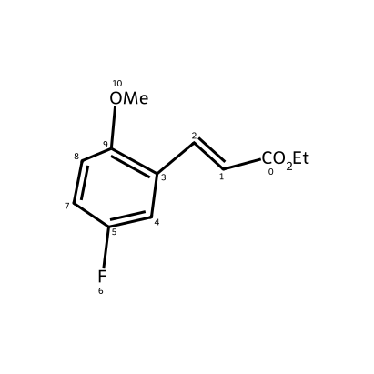 CCOC(=O)/C=C/c1cc(F)ccc1OC